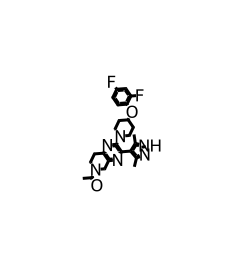 CC(=O)N1CCc2nc(N3CCC(Oc4ccc(F)cc4F)CC3)c(-c3c(C)n[nH]c3C)nc2C1